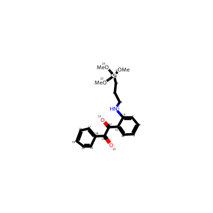 CO[Si](CCCNc1ccccc1C(=O)C(=O)c1ccccc1)(OC)OC